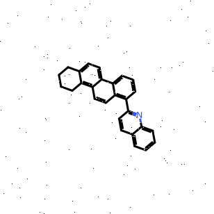 c1ccc2nc(-c3cccc4c3ccc3c5c(ccc34)CCCC5)ccc2c1